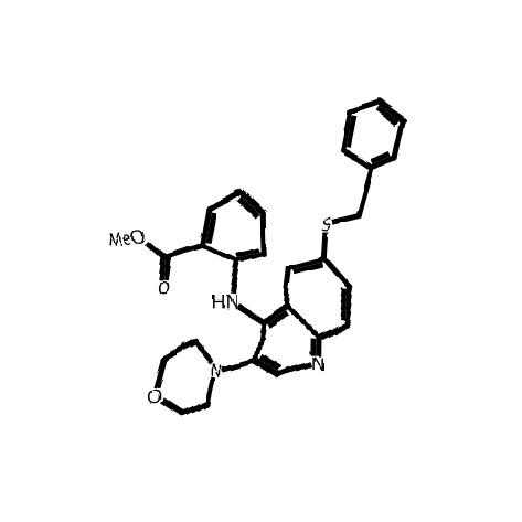 COC(=O)c1ccccc1Nc1c(N2CCOCC2)cnc2ccc(SCc3ccccc3)cc12